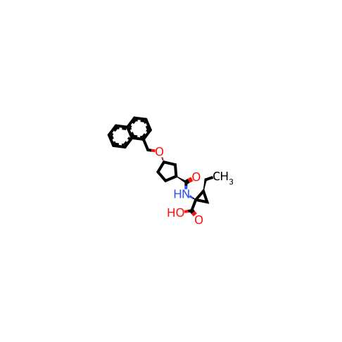 CC[C@H]1C[C@]1(NC(=O)[C@H]1CC[C@H](OCc2cccc3ccccc23)C1)C(=O)O